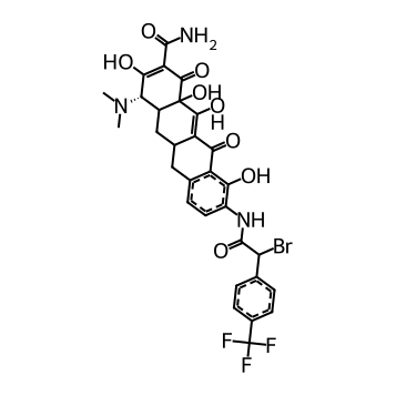 CN(C)[C@@H]1C(O)=C(C(N)=O)C(=O)C2(O)C(O)=C3C(=O)c4c(ccc(NC(=O)C(Br)c5ccc(C(F)(F)F)cc5)c4O)CC3CC12